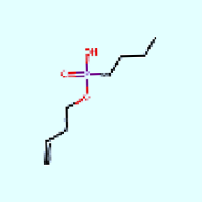 C=CCCOP(=O)(O)CCCC